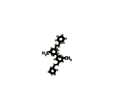 Cc1cc(CCc2ccccc2)cc(-c2cc(CCc3ccccc3)cc(C)n2)n1